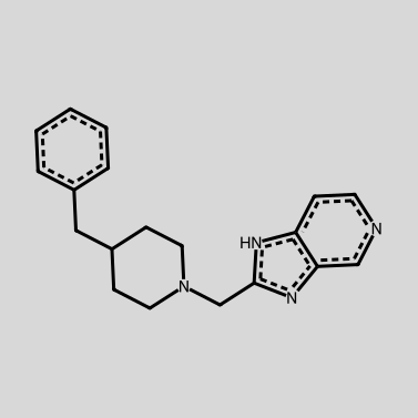 c1ccc(CC2CCN(Cc3nc4cnccc4[nH]3)CC2)cc1